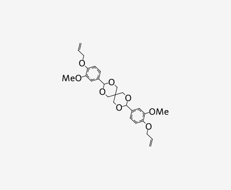 C=CCOc1ccc(C2OCC3(CO2)COC(c2ccc(OCC=C)c(OC)c2)OC3)cc1OC